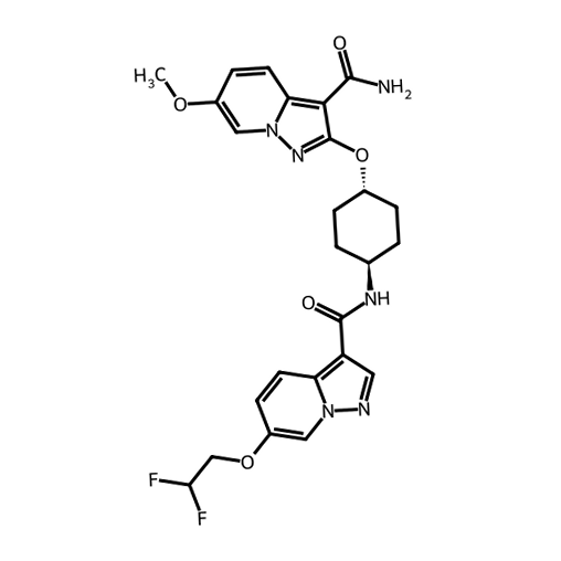 COc1ccc2c(C(N)=O)c(O[C@H]3CC[C@H](NC(=O)c4cnn5cc(OCC(F)F)ccc45)CC3)nn2c1